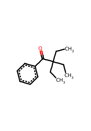 CCC(CC)(CC)C(=O)c1ccccc1